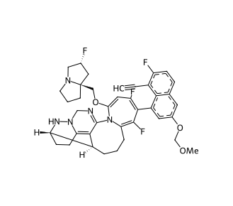 C#Cc1c(F)ccc2cc(OCOC)cc(C3=C(F)C=C(OC[C@@]45CCCN4C[C@H](F)C5)N4C5=NCN6N[C@H]7CCC6=C5[C@H]7CCCC4=C3F)c12